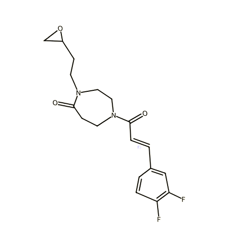 O=C(/C=C/c1ccc(F)c(F)c1)N1CCC(=O)N(CCC2CO2)CC1